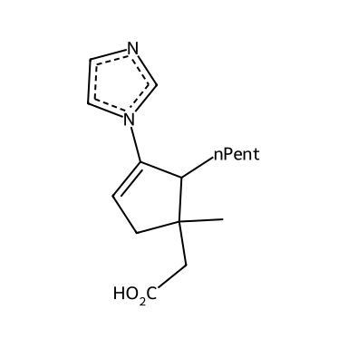 CCCCCC1C(n2ccnc2)=CCC1(C)CC(=O)O